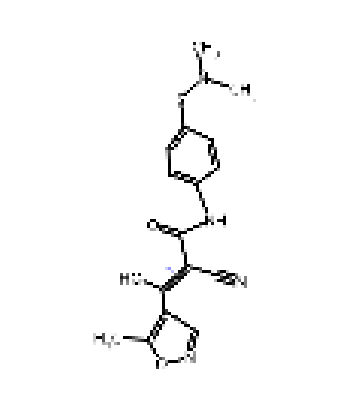 Cc1oncc1/C(O)=C(\C#N)C(=O)Nc1ccc(SN(C)C)cc1